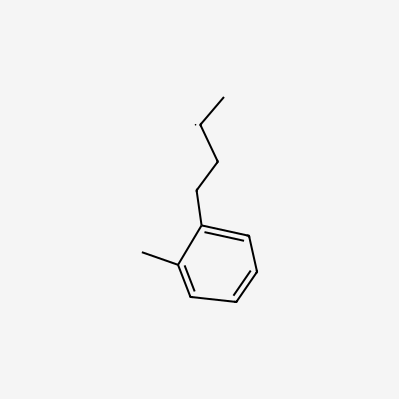 C[CH]CCc1ccccc1C